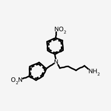 NCCCCN(c1ccc([N+](=O)[O-])cc1)c1ccc([N+](=O)[O-])cc1